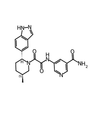 C[C@H]1CC[C@H](c2ccc3[nH]ncc3c2)N(C(=O)C(=O)Nc2cncc(C(N)=O)c2)C1